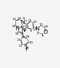 C[N+]1(c2ccc(N3CCOCC3)cc2)C=CCn2cc(-c3ccc(F)cc3)nc21